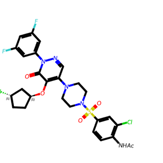 CC(=O)Nc1ccc(S(=O)(=O)N2CCN(c3cnn(-c4cc(F)cc(F)c4)c(=O)c3O[C@H]3CC[C@H](Cl)C3)CC2)cc1Cl